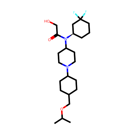 CC(C)OCC1CCC(N2CCC(N(C(=O)CO)[C@@H]3CCCC(F)(F)C3)CC2)CC1